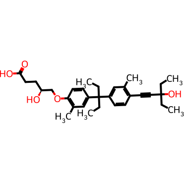 CCC(O)(C#Cc1ccc(C(CC)(CC)c2ccc(OC[C@@H](O)CCC(=O)O)c(C)c2)cc1C)CC